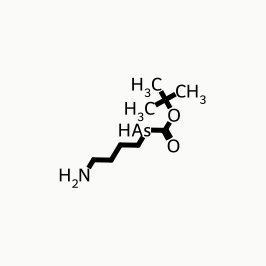 CC(C)(C)OC(=O)[AsH]CCCCN